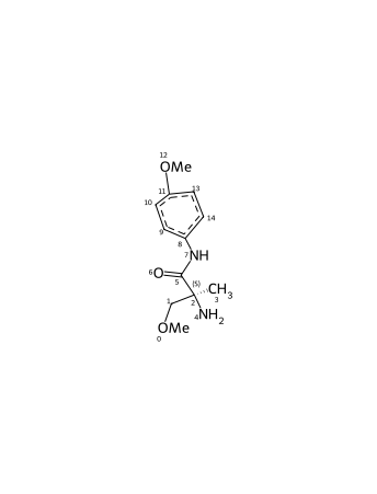 COC[C@](C)(N)C(=O)Nc1ccc(OC)cc1